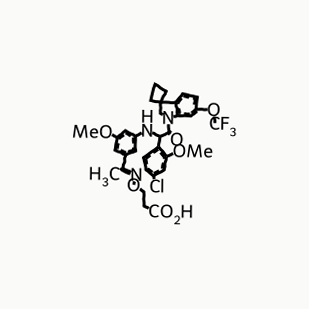 COc1cc(NC(C(=O)N2CC3(CCC3)c3ccc(OC(F)(F)F)cc32)c2ccc(Cl)cc2OC)cc(C(C)=NOCCC(=O)O)c1